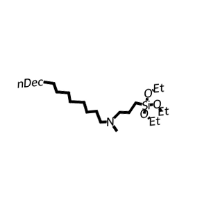 CCCCCCCCCCCCCCCCCCN(C)CCC[Si](OCC)(OCC)OCC